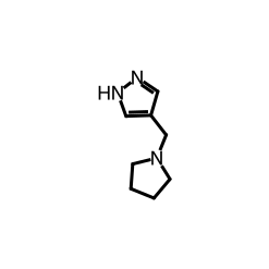 c1n[nH]cc1CN1CCCC1